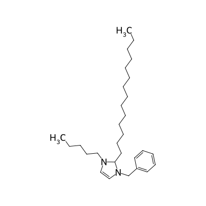 CCCCCCCCCCCCCCC1N(CCCCC)C=CN1Cc1ccccc1